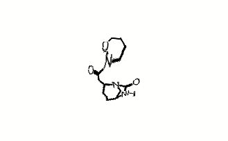 O=C(C1CCC2CN1C(=O)N2)N1CCCCO1